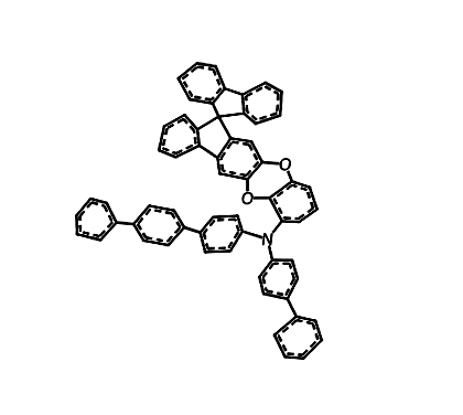 c1ccc(-c2ccc(-c3ccc(N(c4ccc(-c5ccccc5)cc4)c4cccc5c4Oc4cc6c(cc4O5)C4(c5ccccc5-c5ccccc54)c4ccccc4-6)cc3)cc2)cc1